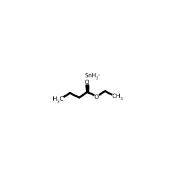 CCCC(=O)OCC.[SnH2]